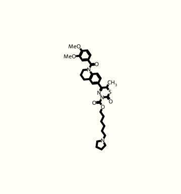 COc1ccc(C(=O)N2CCCc3cc(C4=NN(C(=O)OCCCCCCN5CCCC5)C(=O)SC4C)ccc32)cc1OC